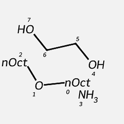 CCCCCCCCOCCCCCCCC.N.OCCO